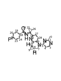 Cc1nccc(N2C[C@H]3C[C@H]3c3nc(C4(NC(=O)c5ccc(F)cc5)CC4)ccc32)n1